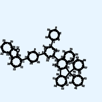 c1ccc(-c2nc(-c3ccc(-c4cccc5c4oc4ccccc45)cc3)nc(-c3nc4c(c5ccccc35)C(c3ccccc3)(c3ccccc3)c3ccccc3-4)n2)cc1